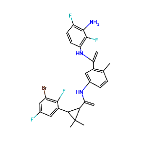 C=C(Nc1ccc(F)c(N)c1F)c1cc(NC(=C)C2C(c3cc(F)cc(Br)c3F)C2(C)C)ccc1C